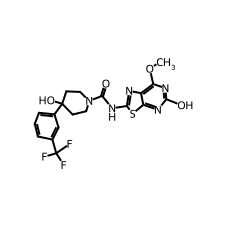 COc1nc(O)nc2sc(NC(=O)N3CCC(O)(c4cccc(C(F)(F)F)c4)CC3)nc12